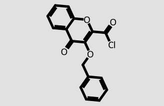 O=C(Cl)c1oc2ccccc2c(=O)c1OCc1ccccc1